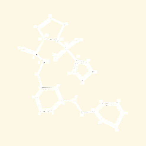 O=C(NCc1cccc(OCc2ccccc2)c1)[C@@H]1C=CCN1S(=O)(=O)c1ccco1